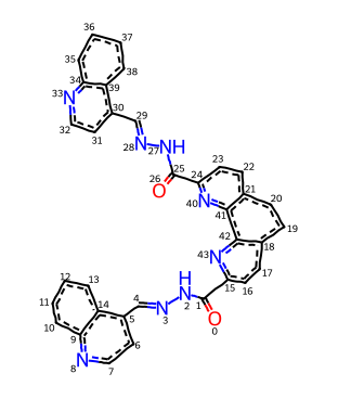 O=C(N/N=C/c1ccnc2ccccc12)c1ccc2ccc3ccc(C(=O)N/N=C/c4ccnc5ccccc45)nc3c2n1